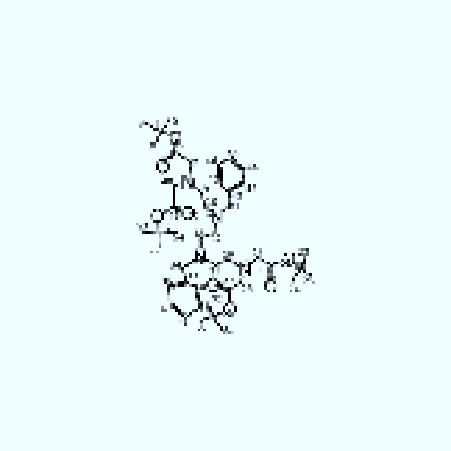 CC(C)(C)OC(=O)CN(CCN(CCN(CCN(CC(=O)OC(C)(C)C)CC(=O)OC(C)(C)C)Cc1ccccc1)Cc1ccccc1)CC(=O)OC(C)(C)C